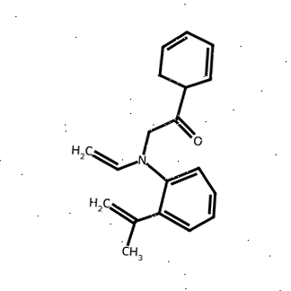 C=CN(CC(=O)C1C=CC=CC1)c1ccccc1C(=C)C